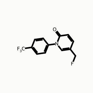 O=c1ccc(CF)cn1-c1ccc(C(F)(F)F)cc1